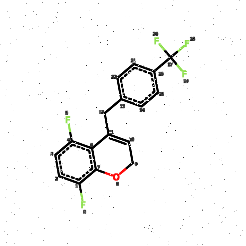 Fc1ccc(F)c2c1OCC=C2Cc1ccc(C(F)(F)F)cc1